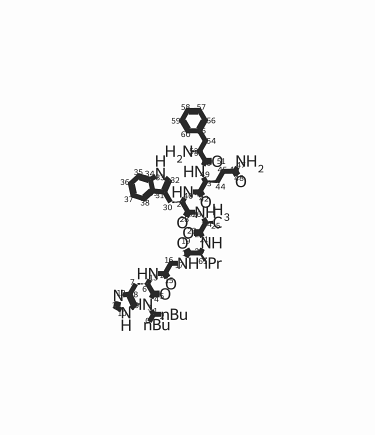 CCCCC(CCCC)NC(=O)[C@H](Cc1c[nH]cn1)NC(=O)CNC(=O)[C@@H](NC(=O)[C@H](C)NC(=O)[C@H](Cc1c[nH]c2ccccc12)NC(=O)[C@H](CCC(N)=O)NC(=O)[C@H](N)Cc1ccccc1)C(C)C